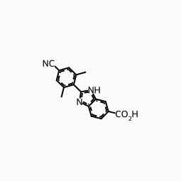 Cc1cc(C#N)cc(C)c1-c1nc2ccc(C(=O)O)cc2[nH]1